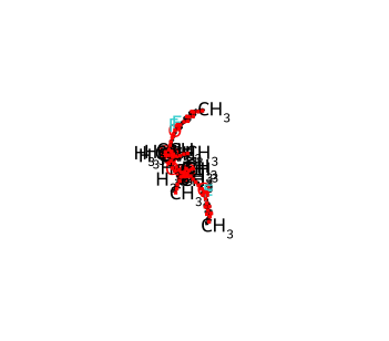 CCCCCCCCCCC(Oc1ccc(Oc2ccc(OC(CCCCCCCCCC)[Si](C)(O[Si](C)(C)C)O[Si](C)(CCCCCCCCCCCOc3ccc(C#Cc4ccc(C5CCC(CCCCC)CC5)cc4)c(F)c3F)O[Si](C)(C)C)cc2)cc1)[Si](C)(O[Si](C)(C)C)O[Si](C)(CCCCCCCCCCCOc1ccc(C#Cc2ccc(C3CCC(CCCCC)CC3)cc2)c(F)c1F)O[Si](C)(C)C